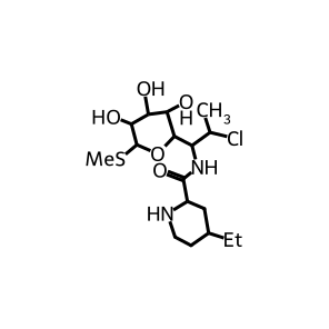 CCC1CCNC(C(=O)NC(C(C)Cl)C2OC(SC)C(O)C(O)C2O)C1